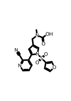 CN(Cc1cc(-c2cccnc2C#N)n(S(=O)(=O)c2ccoc2)c1)C(=O)O